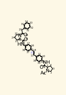 CC(=O)N1CCCC1C(=O)Nc1ccc(/C=C/c2ccc(NC(=O)[C@@H]3CCCN3C(=O)Cc3ccccc3)cc2)cc1